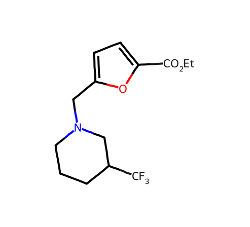 CCOC(=O)c1ccc(CN2CCCC(C(F)(F)F)C2)o1